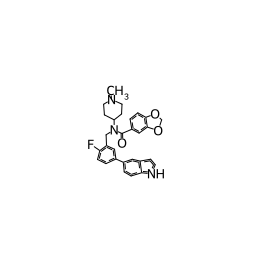 CN1CCC(N(Cc2cc(-c3ccc4[nH]ccc4c3)ccc2F)C(=O)c2ccc3c(c2)OCO3)CC1